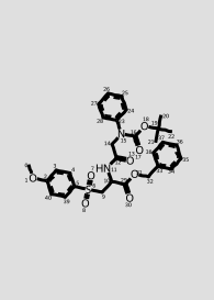 COc1ccc(S(=O)(=O)CC(NC(=O)CN(C(=O)OC(C)(C)C)c2ccccc2)C(=O)OCc2ccccc2)cc1